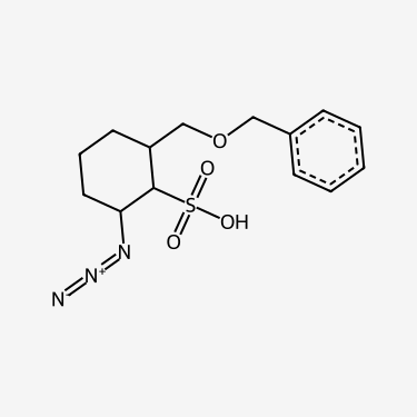 [N-]=[N+]=NC1CCCC(COCc2ccccc2)C1S(=O)(=O)O